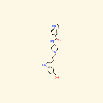 O=C(NC1CCN(CCCc2c[nH]c3ccc(CO)cc23)CC1)c1ccc2[nH]ccc2c1